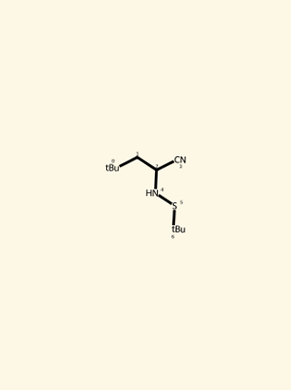 CC(C)(C)CC(C#N)NSC(C)(C)C